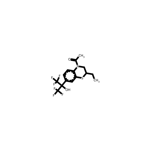 CCC1CN(C(C)=O)c2ccc(C(O)(C(F)(F)F)C(F)(F)F)cc2S1